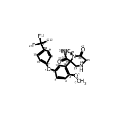 COc1ccc(Oc2ccc(C(F)(F)F)cc2)cc1C1(C(N)=O)CNCC(=O)N1C